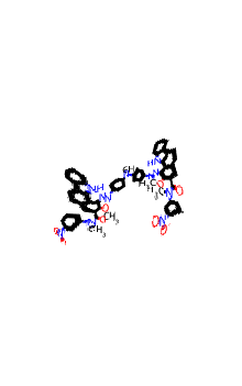 COc1c(C(=O)N(C)c2cccc([N+](=O)[O-])c2)cc2ccc3c4ccccc4[nH]c3c2c1N=Nc1ccc(N(C)c2ccc(N=Nc3c(OC)c(C(=O)N(C)c4cccc([N+](=O)[O-])c4)cc4ccc5c6ccccc6[nH]c5c34)cc2)cc1